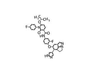 CC(C)Oc1ccc(C(=O)Nc2ccc(Oc3cc4cnn5c4c(c3-c3cn[nH]c3)CC5)c(F)c2)c(=O)n1-c1ccc(F)cc1